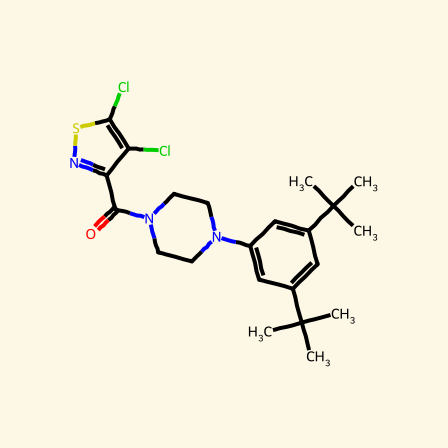 CC(C)(C)c1cc(N2CCN(C(=O)c3nsc(Cl)c3Cl)CC2)cc(C(C)(C)C)c1